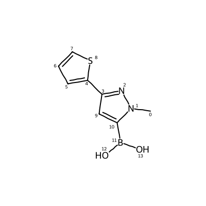 Cn1nc(-c2cccs2)cc1B(O)O